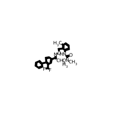 CC(=NOCc1c(C)cccc1NC(=O)N(C)C)c1ccc(-c2ccccc2)c(C(F)F)c1